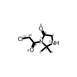 CC1(C)NCC(=O)N1C(=O)CCl